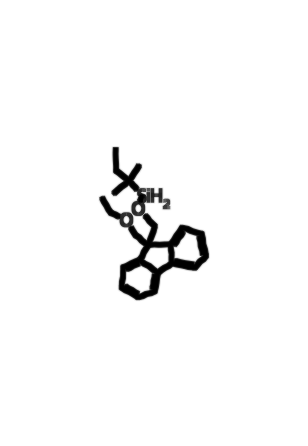 CCOCC1(CO[SiH2]C(C)(C)CC)c2ccccc2-c2ccccc21